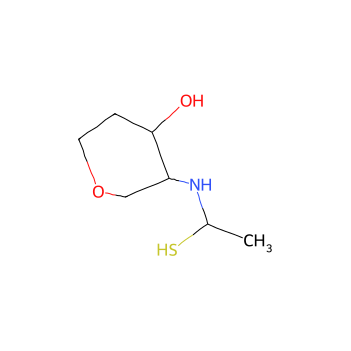 CC(S)NC1COCCC1O